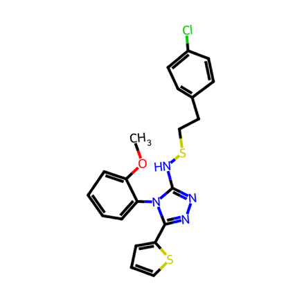 COc1ccccc1-n1c(NSCCc2ccc(Cl)cc2)nnc1-c1cccs1